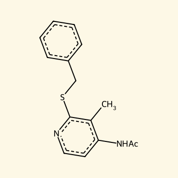 CC(=O)Nc1ccnc(SCc2ccccc2)c1C